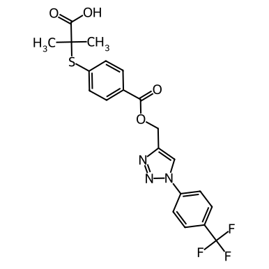 CC(C)(Sc1ccc(C(=O)OCc2cn(-c3ccc(C(F)(F)F)cc3)nn2)cc1)C(=O)O